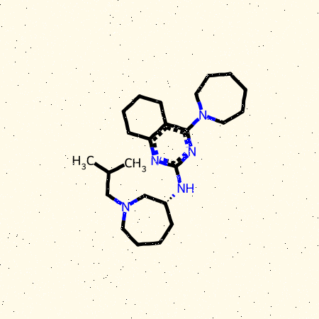 CC(C)CN1CCCC[C@@H](Nc2nc3c(c(N4CCCCCC4)n2)CCCC3)C1